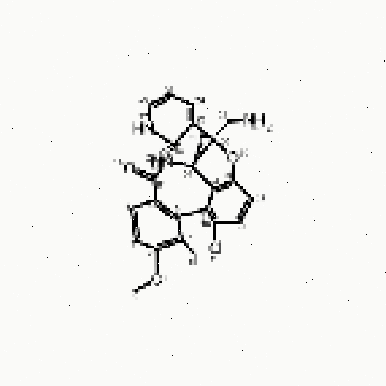 COc1ccc2c(c1F)-c1c(Cl)ccc3c1[C@H](NC2=O)[C@@](CN)(c1ccc[nH]c1=O)O3